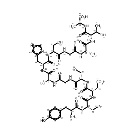 CC[C@H](C)[C@H](NC(=O)CNC(=O)[C@H](CO)NC(=O)[C@H](CC(=O)O)NC(=O)[C@H](CC(C)C)NC(=O)[C@@H](N)Cc1ccc(O)cc1)C(=O)N[C@@H](Cc1c[nH]cn1)C(=O)N[C@@H](CO)C(=O)NCC(=O)N[C@@H](C)C(=O)N[C@H](C(=O)N[C@@H](C)C(=O)O)[C@@H](C)O